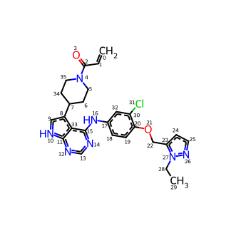 C=CC(=O)N1CCC(c2c[nH]c3ncnc(Nc4ccc(OCc5ccnn5CC)c(Cl)c4)c23)CC1